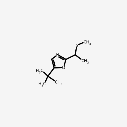 CSC(C)c1ncc(C(C)(C)C)o1